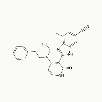 Cc1cc(C#N)cc2[nH]c(-c3c(N(CO)CCc4ccccc4)cc[nH]c3=O)nc12